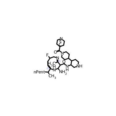 CCCCCC(C)/C1=C/CC(F)C/N=C(\C)C(C(=O)NC2CNCCC2C2CCN(C(=O)C34CCN(CC3)CC4)CC2)C(N)N1